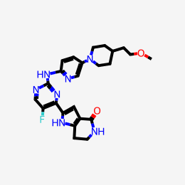 COCCC1CCN(c2ccc(Nc3ncc(F)c(-c4cc5c([nH]4)CCNC5=O)n3)nc2)CC1